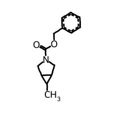 CC1C2CN(C(=O)OCc3ccccc3)CC12